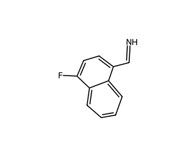 N=Cc1ccc(F)c2ccccc12